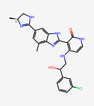 Cc1cc(C2=N[C@@H](C)CN2)cc2[nH]c(-c3c(NCC(O)c4cccc(Cl)c4)cc[nH]c3=O)nc12